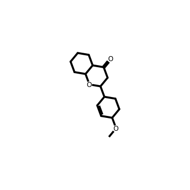 COC1C=CC(C2CC(=O)C3CCCCC3O2)CC1